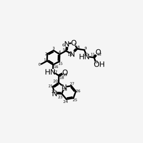 Cc1ccc(-c2noc(CNC(=O)O)n2)cc1NC(=O)c1cnc2ccccn12